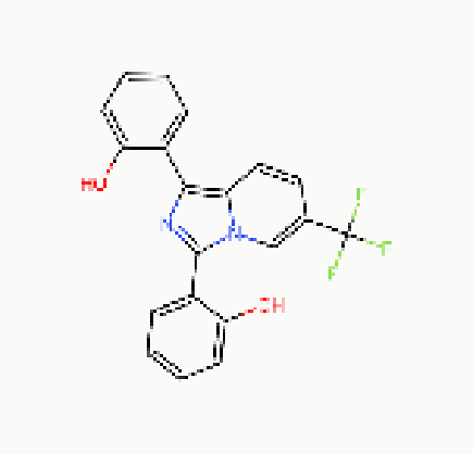 Oc1ccccc1-c1nc(-c2ccccc2O)n2cc(C(F)(F)F)ccc12